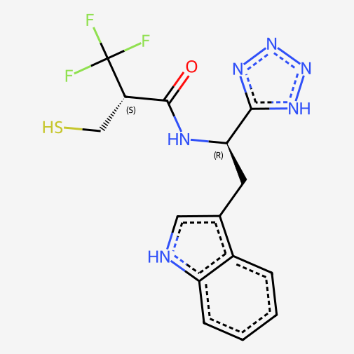 O=C(N[C@H](Cc1c[nH]c2ccccc12)c1nnn[nH]1)[C@H](CS)C(F)(F)F